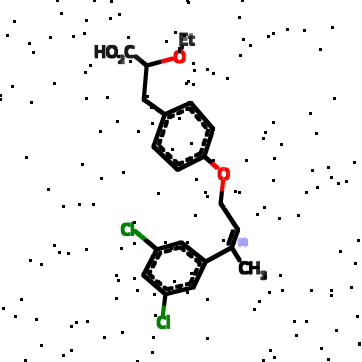 CCOC(Cc1ccc(OC/C=C(/C)c2cc(Cl)cc(Cl)c2)cc1)C(=O)O